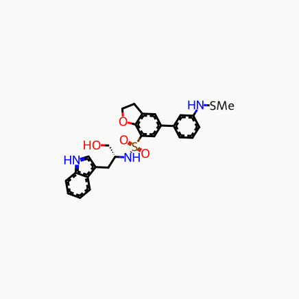 CSNc1cccc(-c2cc3c(c(S(=O)(=O)N[C@@H](CO)Cc4c[nH]c5ccccc45)c2)OCC3)c1